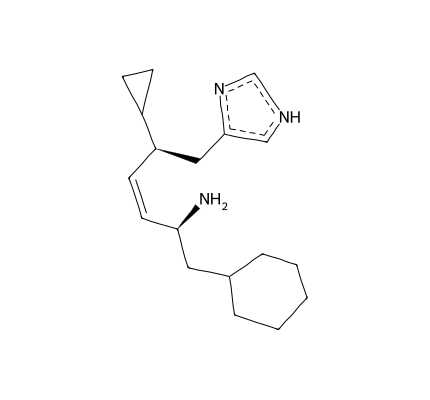 N[C@H](/C=C\[C@H](Cc1c[nH]cn1)C1CC1)CC1CCCCC1